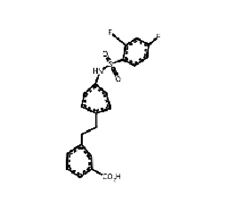 O=C(O)c1cccc(CCc2ccc(NS(=O)(=O)c3ccc(F)cc3F)cc2)c1